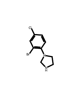 Clc1ccc(N2CCNC2)c(Br)c1